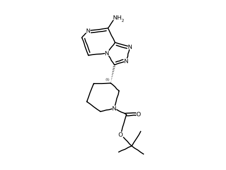 CC(C)(C)OC(=O)N1CCC[C@H](c2nnc3c(N)nccn23)C1